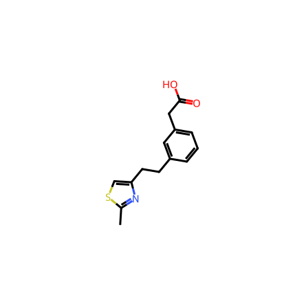 Cc1nc(CCc2cccc(CC(=O)O)c2)cs1